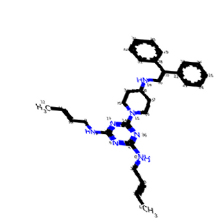 CC=CCNc1nc(NCC=CC)nc(N2CCC(NCC(c3ccccc3)c3ccccc3)CC2)n1